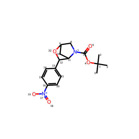 CC(C)(C)OC(=O)N1CC2CC1C(c1ccc([N+](=O)[O-])cc1)O2